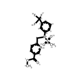 COC(=O)c1ccc(CN(c2cccc(C(F)(F)F)c2)S(C)(=O)=O)nc1